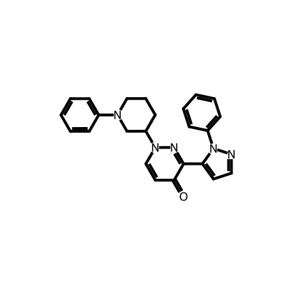 O=c1ccn(C2CCCN(c3ccccc3)C2)nc1-c1ccnn1-c1ccccc1